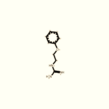 N=C(N)NCCOc1cc[c]cc1